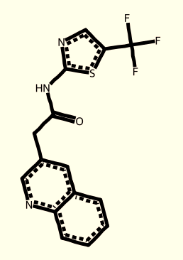 O=C(Cc1cnc2ccccc2c1)Nc1ncc(C(F)(F)F)s1